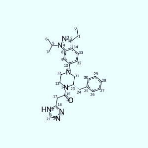 CCc1nn(C(C)C)c2cc(N3CCN(C(=O)Cc4nnc[nH]4)[C@@H](Cc4ccccc4)C3)ccc12